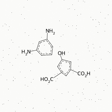 Nc1cccc(N)c1.O=C(O)c1cc(O)cc(C(=O)O)c1